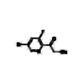 CC(C)(C)CC(=O)c1ncc(Br)cc1F